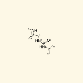 CNC(=O)CNC(=O)NC(C)C